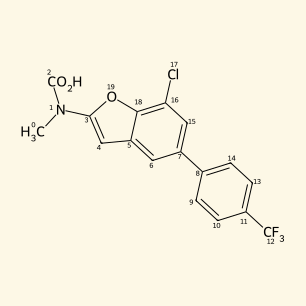 CN(C(=O)O)c1cc2cc(-c3ccc(C(F)(F)F)cc3)cc(Cl)c2o1